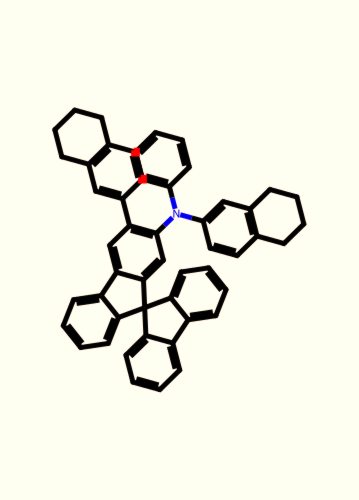 c1ccc(N(c2ccc3c(c2)CCCC3)c2cc3c(cc2-c2ccc4c(c2)CCCC4)-c2ccccc2C32c3ccccc3-c3ccccc32)cc1